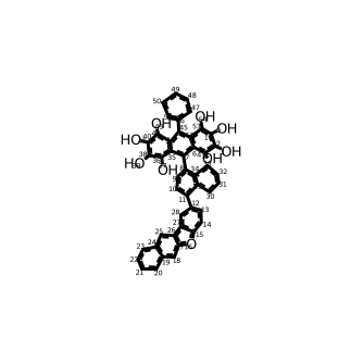 Oc1c(O)c(O)c2c(-c3ccc(-c4ccc5oc6cc7ccccc7cc6c5c4)c4ccccc34)c3c(O)c(O)c(O)c(O)c3c(-c3ccccc3)c2c1O